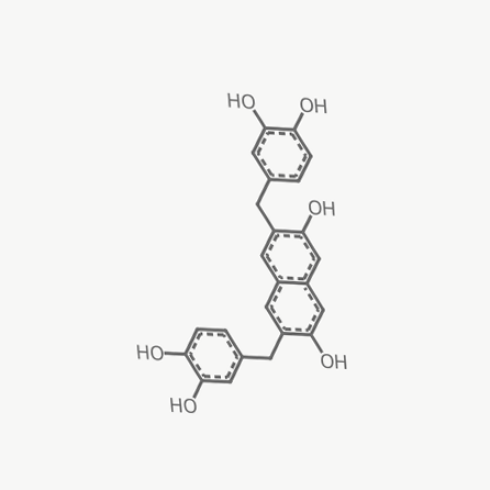 Oc1ccc(Cc2cc3cc(Cc4ccc(O)c(O)c4)c(O)cc3cc2O)cc1O